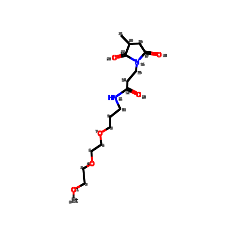 CCOCCOCCOCCCNC(=O)CCN1C(=O)CC(C)C1=O